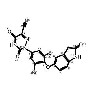 N#Cc1nn(-c2cc(Br)c(Oc3ccc4c(c3)CC(=O)N4)c(Br)c2)c(=O)[nH]c1=O